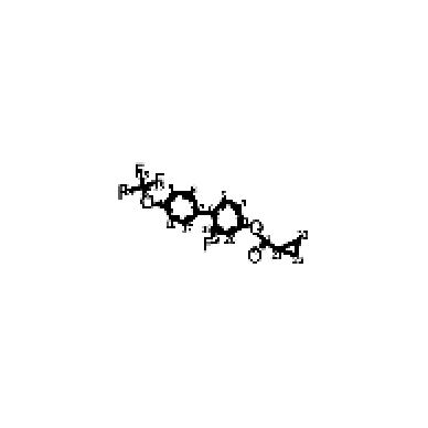 O=C(Oc1ccc(-c2ccc(OC(F)(F)F)cc2)c(F)c1)C1CC1